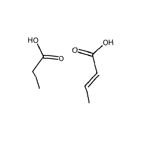 CC=CC(=O)O.CCC(=O)O